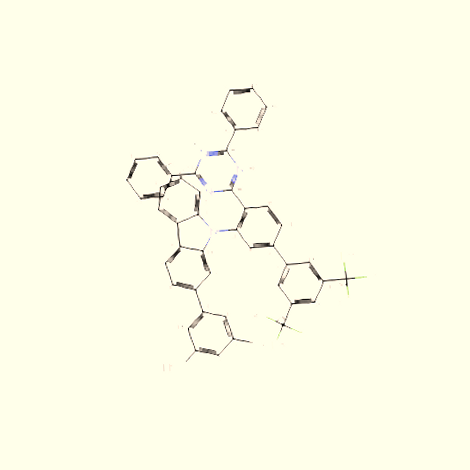 Cc1cc(C)cc(-c2ccc3c4ccccc4n(-c4cc(-c5cc(C(F)(F)F)cc(C(F)(F)F)c5)ccc4-c4nc(-c5ccccc5)nc(-c5ccccc5)n4)c3c2)c1